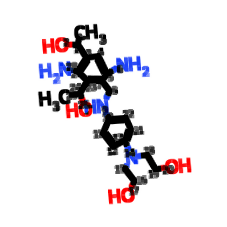 CC(O)c1cc(N)c(CNc2ccc(N(CCO)CCO)cc2)c(C(C)O)c1N